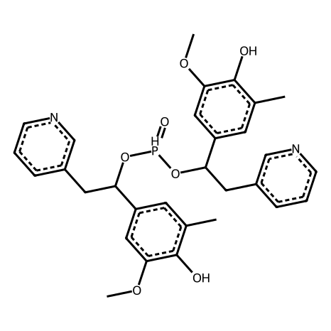 COc1cc(C(Cc2cccnc2)O[PH](=O)OC(Cc2cccnc2)c2cc(C)c(O)c(OC)c2)cc(C)c1O